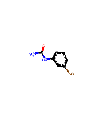 NC(=O)Nc1cccc(S)c1